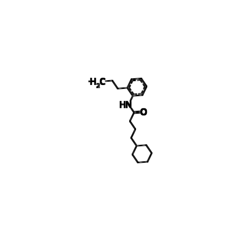 [CH2]CCc1ccccc1NC(=O)CCCC1CCCCC1